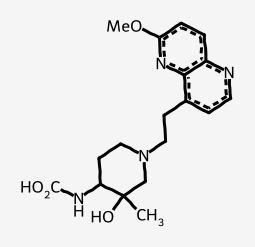 COc1ccc2nccc(CCN3CCC(NC(=O)O)C(C)(O)C3)c2n1